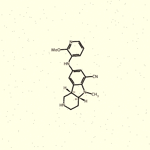 COc1ncccc1Nc1cc(C#N)c2c(c1)[C@H]1CNCC[C@H]1N2C